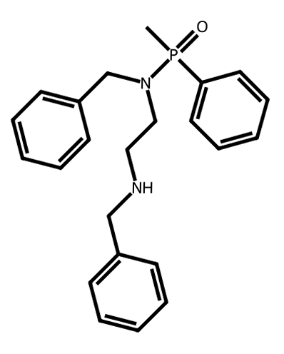 CP(=O)(c1ccccc1)N(CCNCc1ccccc1)Cc1ccccc1